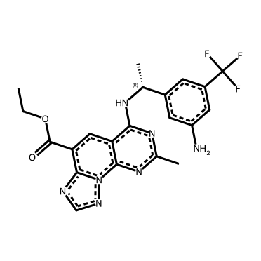 CCOC(=O)c1cc2c(N[C@H](C)c3cc(N)cc(C(F)(F)F)c3)nc(C)nc2n2ncnc12